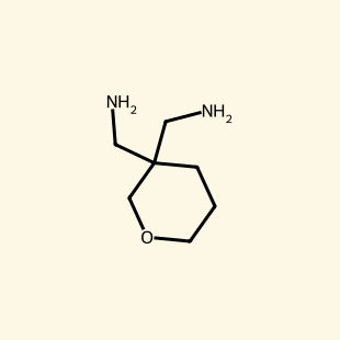 NCC1(CN)CCCOC1